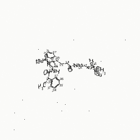 CC(C(=O)NC1=NN(C(=O)C(C)(C)C)C(CCCC(=O)NCCO[Si](C)(C)C(C)(C)C)(c2ccccc2)S1)c1ccccc1